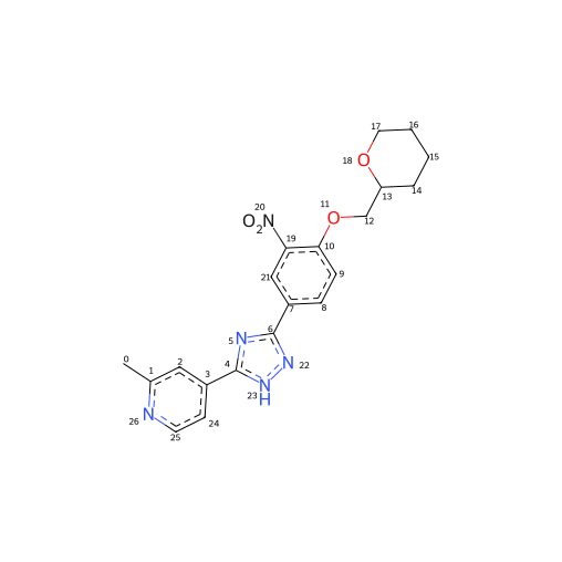 Cc1cc(-c2nc(-c3ccc(OCC4CCCCO4)c([N+](=O)[O-])c3)n[nH]2)ccn1